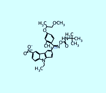 CCn1c2ccc(/C(=N/OC(=O)NC(C)(C)C)c3ccc(OC(C)COC)cc3C)cc2c2cc([N+](=O)[O-])ccc21